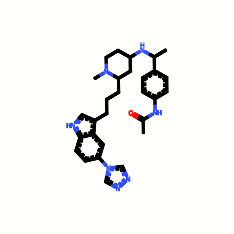 CC(=O)Nc1ccc(C(C)NC2CCN(C)C(CCCc3c[nH]c4ccc(-n5cnnc5)cc34)C2)cc1